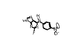 O=[N+]([O-])c1ccc(Nc2nc(F)nc3[nH]cnc23)cc1